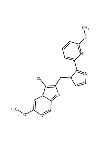 COc1cn2c(Cl)c(Cn3ccnc3-c3cccc(OC)n3)nc2cn1